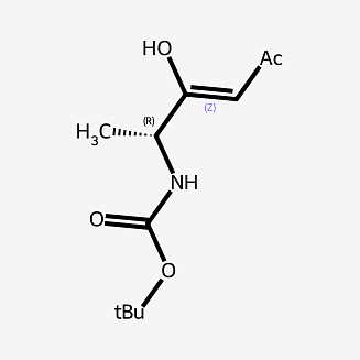 CC(=O)/C=C(\O)[C@@H](C)NC(=O)OC(C)(C)C